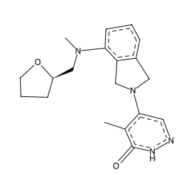 Cc1c(N2Cc3cccc(N(C)C[C@H]4CCCO4)c3C2)cn[nH]c1=O